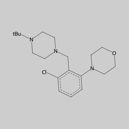 CC(C)(C)N1CCN(Cc2c(Cl)cccc2N2CCOCC2)CC1